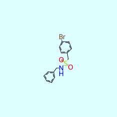 O=S(=O)(Cc1ccc(Br)cc1)NCc1ccccc1